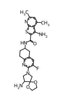 Cc1cc(C)c2c(N)c(C(=O)NC3CCc4nc(N5CC(N)C6(C5)OCCO6)c(F)cc4C3)sc2n1